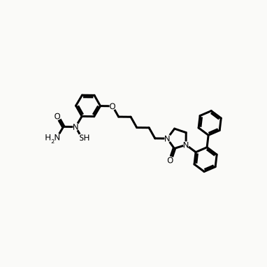 NC(=O)N(S)c1cccc(OCCCCCN2CCN(c3ccccc3-c3ccccc3)C2=O)c1